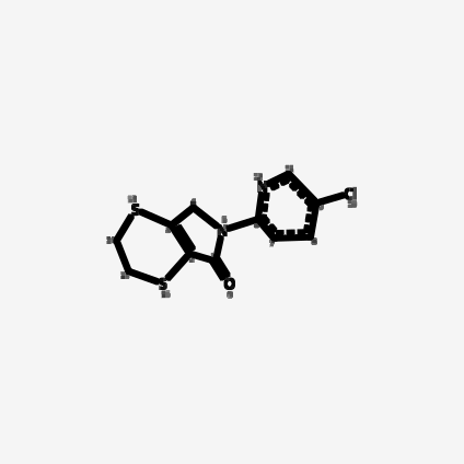 O=C1C2=C([CH]N1c1ccc(Cl)cn1)SCCS2